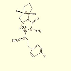 CCOC(=O)[C@H](CCc1ccc(F)cc1)N[C@@H](C)C(=O)N1[C@H](C(=O)O)C[C@@H]2CCC[C@@H]21